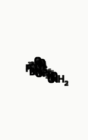 NS(=O)(=O)N1CCC(Sc2nonc2-c2noc(=O)n2-c2ccc(F)c(Br)c2)CC1